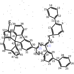 N/C(=N\C(=N/Cc1cccc(-c2ccccc2)c1)c1cccc(-c2ccccc2)c1)c1ccc2c(c1)-c1ccccc1C21c2ccccc2C=Cc2ccc(F)cc21